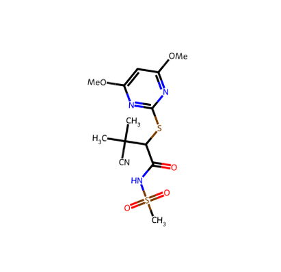 COc1cc(OC)nc(SC(C(=O)NS(C)(=O)=O)C(C)(C)C#N)n1